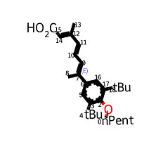 CCCCCOc1c(C(C)(C)C)cc(/C(C)=C/C=CC(C)=CC(=O)O)cc1C(C)(C)C